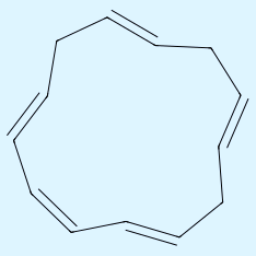 C1=C\C=C\C/C=C/C/C=C/C/C=C/1